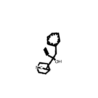 C#CC(O)(Cc1ccccc1)C1CN2CCC1CC2